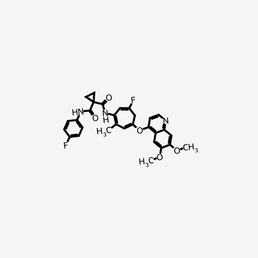 COc1cc2nccc(OC3=CC(C)=C(NC(=O)C4(C(=O)Nc5ccc(F)cc5)CC4)C=C(F)C3)c2cc1OC